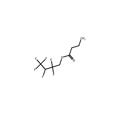 C[CH]CC(=O)OCC(F)(F)C(F)C(F)(F)F